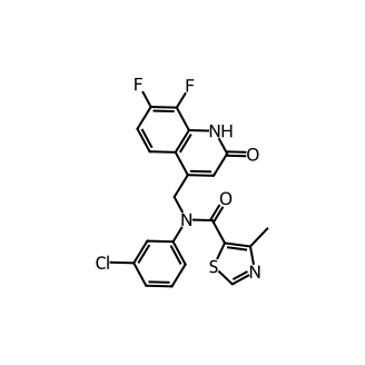 Cc1ncsc1C(=O)N(Cc1cc(=O)[nH]c2c(F)c(F)ccc12)c1cccc(Cl)c1